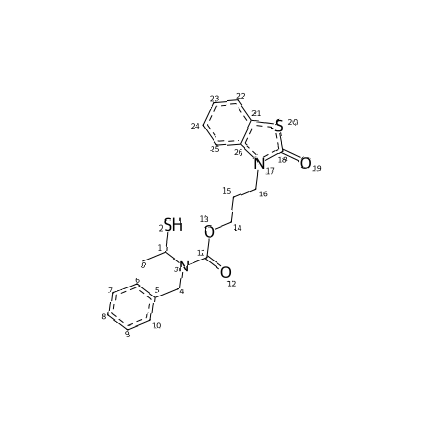 CC(S)N(Cc1ccccc1)C(=O)OCCCn1c(=O)sc2ccccc21